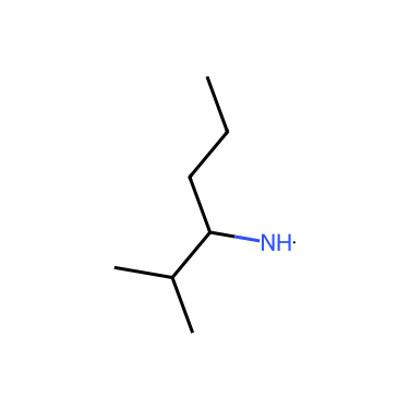 CCCC([NH])C(C)C